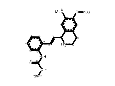 CCCCOc1cc2c(cc1OC)C(/C=C/c1ccccc1NC(=O)OC(C)(C)C)NCC2